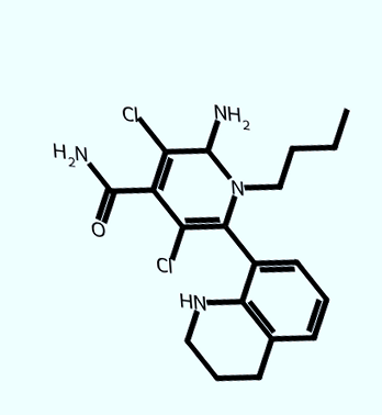 CCCCN1C(c2cccc3c2NCCC3)=C(Cl)C(C(N)=O)=C(Cl)C1N